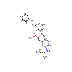 COc1cc2nc(NC(C)C)ncc2cc1-c1cccc(OCc2ccccc2)c1